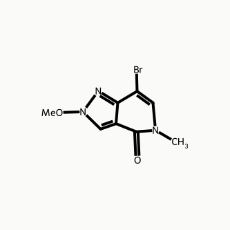 COn1cc2c(=O)n(C)cc(Br)c2n1